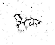 O=C(O)c1c(O)c(C2Cc3ccccc3C2)nc2ccccc12